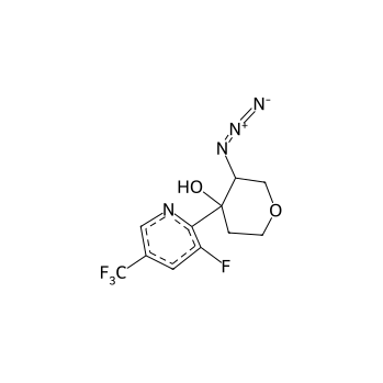 [N-]=[N+]=NC1COCCC1(O)c1ncc(C(F)(F)F)cc1F